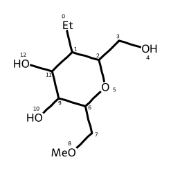 CCC1C(CO)OC(COC)C(O)C1O